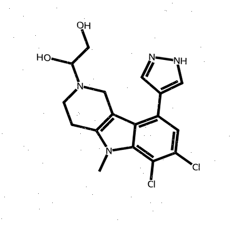 Cn1c2c(c3c(-c4cn[nH]c4)cc(Cl)c(Cl)c31)CN(C(O)CO)CC2